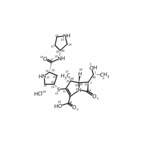 C[C@@H](O)[C@H]1C(=O)N2C(C(=O)O)=C(S[C@@H]3CN[C@H](C(=O)N[C@@H]4CCNC4)C3)[C@H](C)[C@H]12.Cl